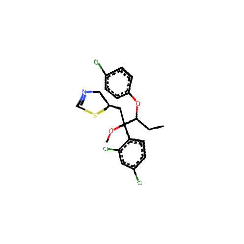 CCC(Oc1ccc(Cl)cc1)C(CC1CN=CS1)(OC)c1ccc(Cl)cc1Cl